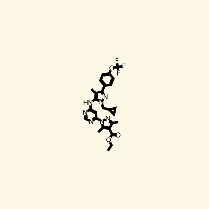 CCOC(=O)c1c(C)nn(-c2cc(Nc3c(C)c(-c4ccc(OC(F)(F)F)cc4)nn3CC3CC3)ncn2)c1C